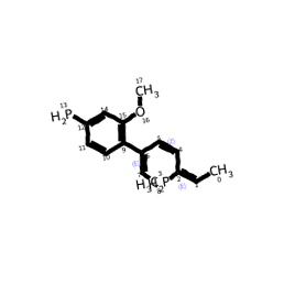 C\C=C(P)/C=C\C(=C/C)c1ccc(P)cc1OC